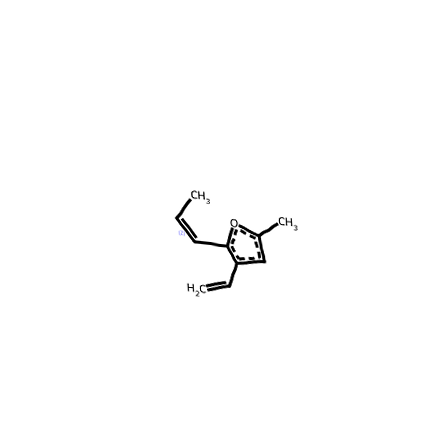 C=Cc1cc(C)oc1/C=C\C